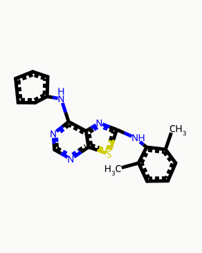 Cc1cccc(C)c1Nc1nc2c(Nc3ccccc3)ncnc2s1